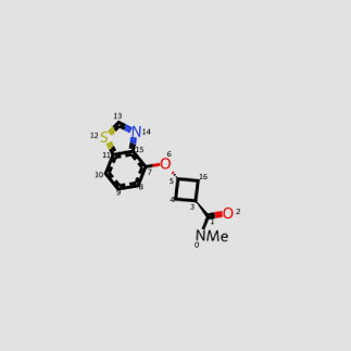 CNC(=O)[C@H]1C[C@H](Oc2cccc3scnc23)C1